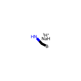 [1H+].[B]=C=N.[NaH]